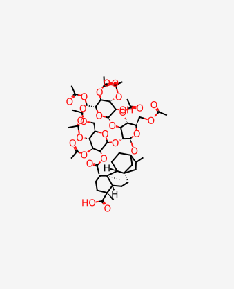 CC(=O)OC[C@H]1O[C@@H](O[C@H]2[C@H](O[C@]34CC[C@@H]5[C@](CC[C@H]6[C@@]5(C)CCC[C@@]6(C)C(=O)O)(CC3C)C4)O[C@H](COC(C)=O)[C@@H](OC(C)=O)[C@@H]2O[C@@H]2O[C@H](COC(C)=O)[C@@H](OC(C)=O)[C@H](OC(C)=O)[C@H]2O)[C@H](OC(C)=O)[C@@H](OC(C)=O)[C@@H]1OC(C)=O